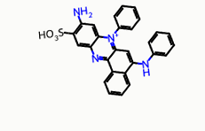 Nc1cc2c(cc1S(=O)(=O)O)nc1c3ccccc3c(Nc3ccccc3)cc1[n+]2-c1ccccc1